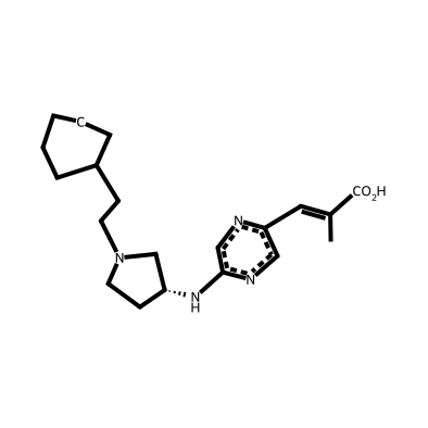 CC(=Cc1cnc(N[C@@H]2CCN(CCC3CCCCC3)C2)cn1)C(=O)O